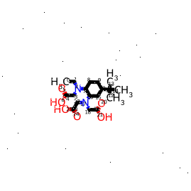 CCN(CC(=O)O)C1CCC(C(C)(C)C)CC1N(CC(=O)O)CC(=O)O